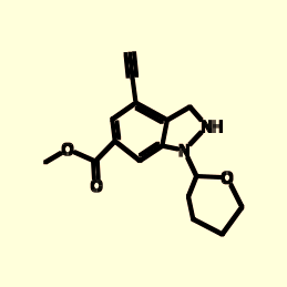 C#Cc1cc(C(=O)OC)cc2c1CNN2C1CCCCO1